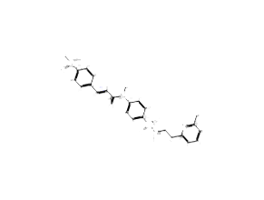 Cc1cccc(CCNS(=O)(=O)c2ccc(N(C)C(=O)/C=C/c3ccc(S(C)(=O)=O)cc3)cc2)n1